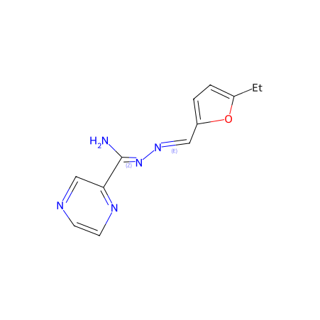 CCc1ccc(/C=N/N=C(\N)c2cnccn2)o1